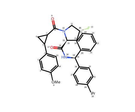 COc1ccc(C2CC2C(=O)N2C[C@H](F)C[C@H]2C(=O)N[C@@H](c2ccccc2)c2ccc(C(C)C)cc2)cc1